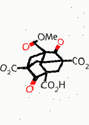 COC(=O)C12CC3(C(=O)O)CC(C(=O)O)(CC(C(=O)O)(C1)C3=O)C2=O